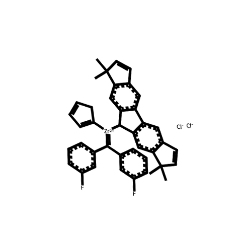 CC1(C)C=Cc2cc3c(cc21)[CH]([Zr+2]([C]1=CC=CC1)=[C](c1cccc(F)c1)c1cccc(F)c1)c1cc2c(cc1-3)C=CC2(C)C.[Cl-].[Cl-]